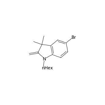 C=C1N(CCCCCC)c2ccc(Br)cc2C1(C)C